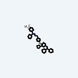 Cc1ccc(/C(=C/C=C/c2ccc(N3c4ccc(C=C(c5ccccc5)c5ccccc5)cc4C4CCCC43)cc2)c2ccccc2)cc1